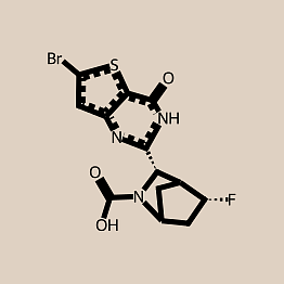 O=C(O)N1C2CC([C@H](F)C2)[C@H]1c1nc2cc(Br)sc2c(=O)[nH]1